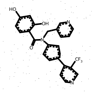 O=C(c1ccc(O)cc1O)N(Cc1cccnc1)c1ccc(-c2ccncc2C(F)(F)F)cc1